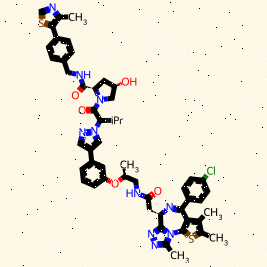 Cc1ncsc1-c1ccc(CNC(=O)[C@@H]2C[C@@H](O)CN2C(=O)C(C(C)C)n2cc(-c3cccc(O[C@@H](C)CNC(=O)C[C@@H]4N=C(c5ccc(Cl)cc5)c5c(sc(C)c5C)-n5c(C)nnc54)c3)cn2)cc1